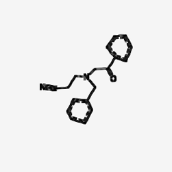 N#CCCN(CC(=O)c1ccccc1)Cc1ccccc1